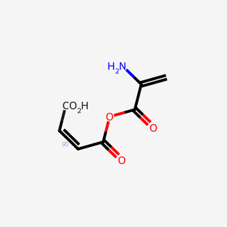 C=C(N)C(=O)OC(=O)/C=C\C(=O)O